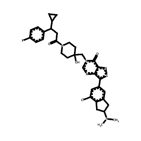 CN(C)C1Cc2cc(-c3snc4c(=O)n(CC5(O)CCN(C(=O)CC(c6ccc(F)cc6)C6CC6)CC5)cnc34)cc(Cl)c2C1